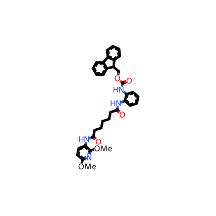 COc1ccc(NC(=O)CCCCCC(=O)Nc2ccccc2NC(=O)OCC2c3ccccc3-c3ccccc32)c(OC)n1